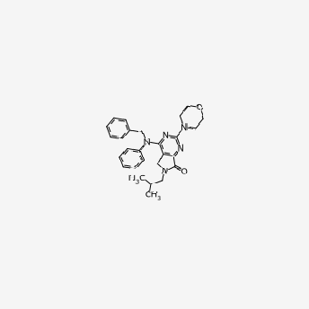 CC(C)CN1Cc2c(nc(N3CCOCC3)nc2N(Cc2ccccc2)c2ccccc2)C1=O